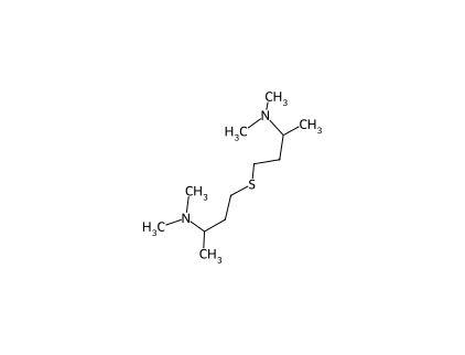 CC(CCSCCC(C)N(C)C)N(C)C